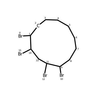 BrC1CCCCCCCC(Br)C(Br)CC1Br